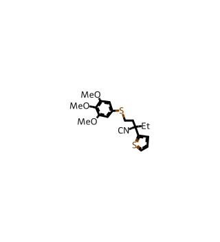 [C-]#[N+]C(CC)(CCSc1cc(OC)c(OC)c(OC)c1)c1cccs1